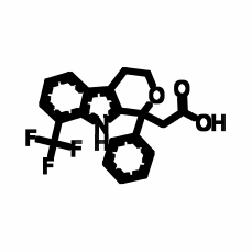 O=C(O)CC1(c2ccccc2)OCCc2c1[nH]c1c(C(F)(F)F)cccc21